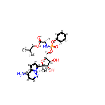 CCC(CC)COC(=O)[C@H](C)N[P@@](=O)(OC[C@H]1O[C@@](C#N)(c2ccc3c(N)ccnn23)[C@H](O)[C@@H]1O)Oc1ccccc1